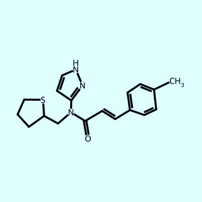 Cc1ccc(C=CC(=O)N(CC2CCCS2)c2cc[nH]n2)cc1